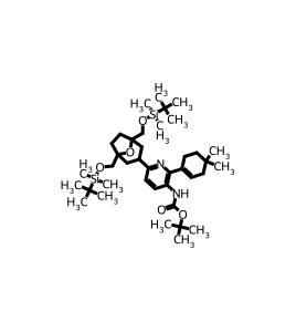 CC1(C)CC=C(c2nc(C3CC4(CO[Si](C)(C)C(C)(C)C)CCC(CO[Si](C)(C)C(C)(C)C)(C3)O4)ccc2NC(=O)OC(C)(C)C)CC1